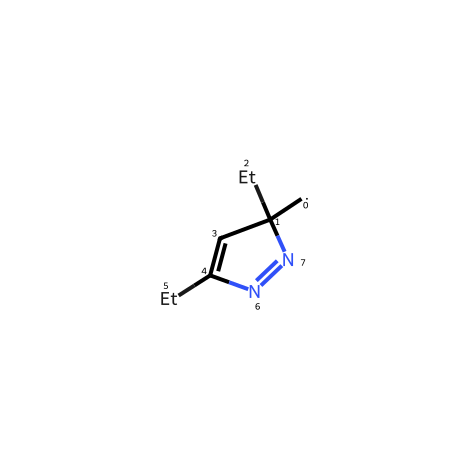 [CH2]C1(CC)C=C(CC)N=N1